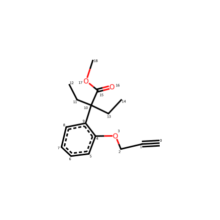 C#CCOc1ccccc1C(CC)(CC)C(=O)OC